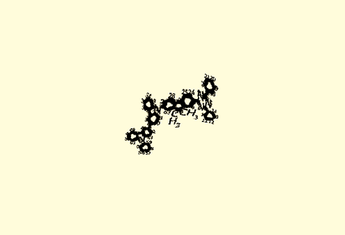 CC1(C)c2cc(-c3nc(-c4ccccc4)nc(-c4ccccc4)n3)ccc2-c2ccc(N3c4ccccc4C4C=C(c5ccc6c(c5)c5ccccc5n6-c5ccccc5)C=CC43)cc21